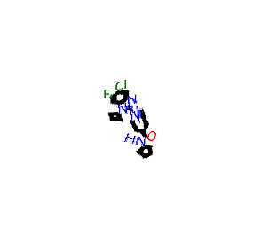 O=C(NC1CCCC1)C1CCN(c2nc3cc(Cl)c(F)cc3n2C2CCC2)CC1